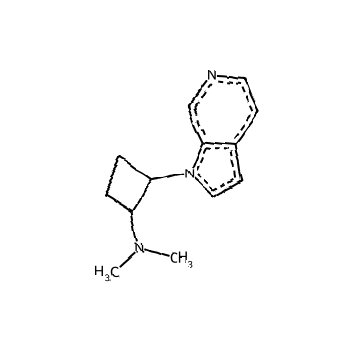 CN(C)C1CCC1n1ccc2ccncc21